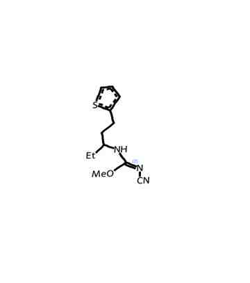 CCC(CCc1cccs1)N/C(=N/C#N)OC